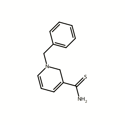 NC(=S)C1=CC=CN(Cc2ccccc2)C1